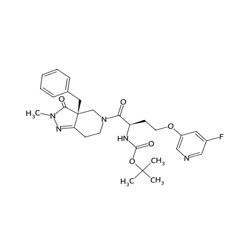 CN1N=C2CCN(C(=O)[C@@H](CCOc3cncc(F)c3)NC(=O)OC(C)(C)C)C[C@@]2(Cc2ccccc2)C1=O